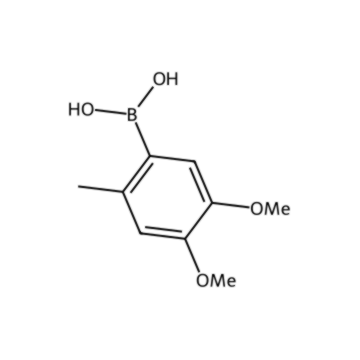 COc1cc(C)c(B(O)O)cc1OC